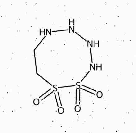 O=S1(=O)CCNNNNS1(=O)=O